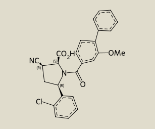 COc1cc(C(=O)N2[C@@H](c3ccccc3Cl)C[C@@H](C#N)[C@H]2C(=O)O)ccc1-c1ccccc1